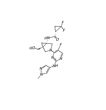 Cn1cc(Nc2ncc(F)c(N3C[C@]4(CO)C[C@@]4(NC(=O)[C@@H]4CC4(F)F)C3)n2)cn1